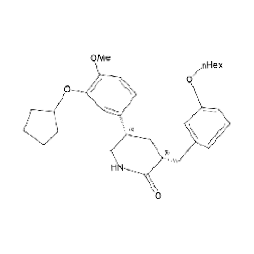 CCCCCCOc1cccc(C[C@H]2C[C@@H](c3ccc(OC)c(OC4CCCC4)c3)CNC2=O)c1